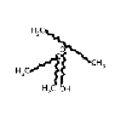 C=CCCCCCCC(CCCCCCCCC)OCC(CCCCCCCCO)OC(CCCCCCC=C)CCCCCCCCC